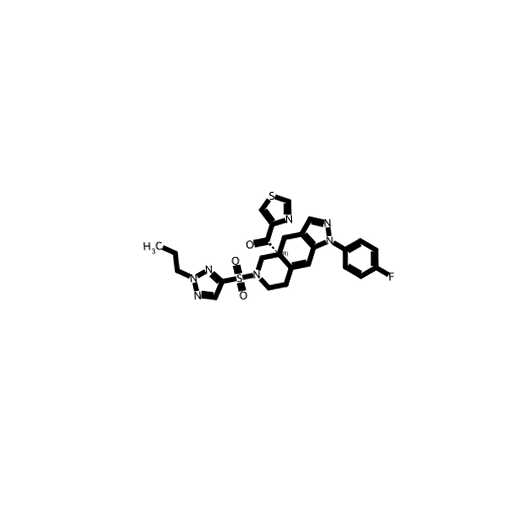 CCCn1ncc(S(=O)(=O)N2CCC3=Cc4c(cnn4-c4ccc(F)cc4)C[C@]3(C(=O)c3cscn3)C2)n1